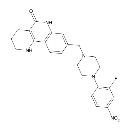 O=c1[nH]c2cc(CN3CCN(c4ccc([N+](=O)[O-])cc4F)CC3)ccc2c2c1CCCN2